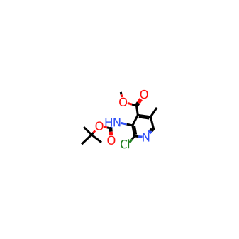 COC(=O)c1c(C)cnc(Cl)c1NC(=O)OC(C)(C)C